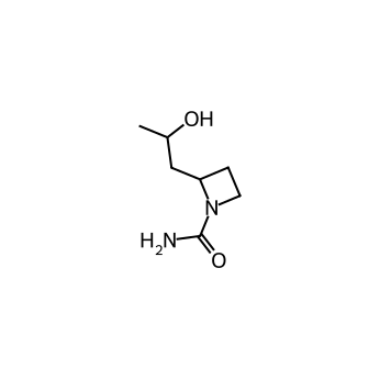 CC(O)CC1CCN1C(N)=O